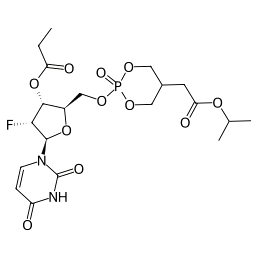 CCC(=O)O[C@H]1[C@@H](F)[C@H](n2ccc(=O)[nH]c2=O)O[C@@H]1COP1(=O)OCC(CC(=O)OC(C)C)CO1